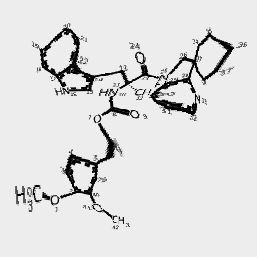 COc1ccc(COC(=O)N[C@@](C)(Cc2c[nH]c3ccccc23)C(=O)NCC2(c3ccccn3)CCCCC2)cc1OC